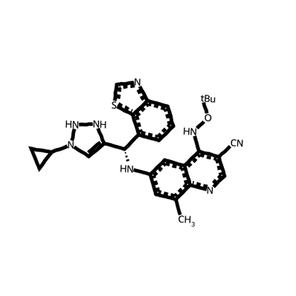 Cc1cc(N[C@H](C2=CN(C3CC3)NN2)c2cccc3ncsc23)cc2c(NOC(C)(C)C)c(C#N)cnc12